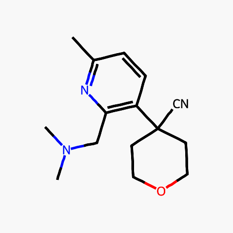 Cc1ccc(C2(C#N)CCOCC2)c(CN(C)C)n1